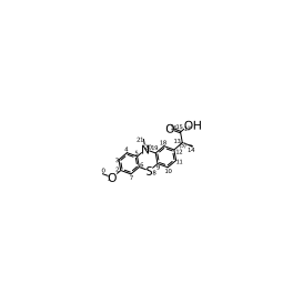 COc1ccc2c(c1)Sc1ccc([C@H](C)C(=O)O)cc1N2C